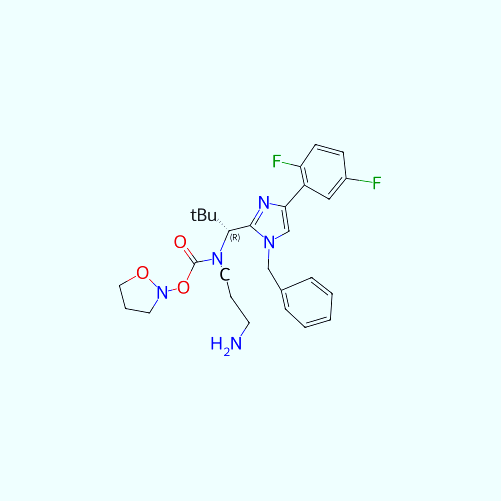 CC(C)(C)[C@H](c1nc(-c2cc(F)ccc2F)cn1Cc1ccccc1)N(CCCN)C(=O)ON1CCCO1